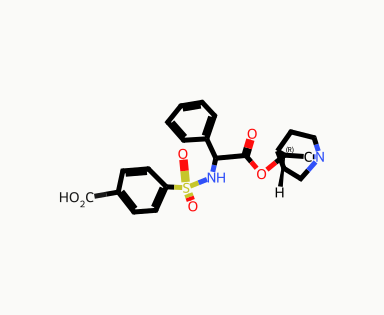 O=C(O)c1ccc(S(=O)(=O)NC(C(=O)O[C@H]2CN3CCC2CC3)c2ccccc2)cc1